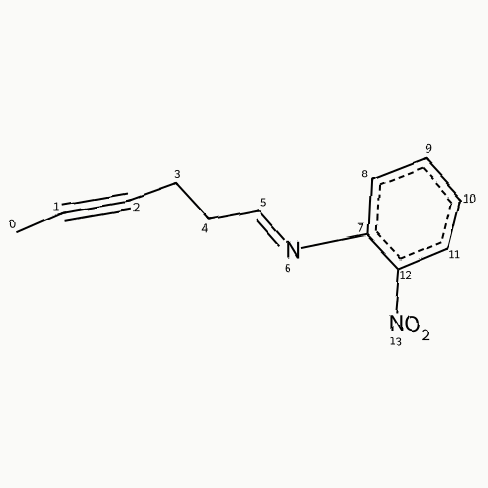 CC#CCC/C=N/c1ccccc1[N+](=O)[O-]